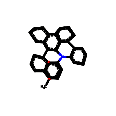 Cc1ccc(N(c2ccccc2-c2ccccc2)c2ccc3ccccc3c2-c2cccc3ccccc23)cc1